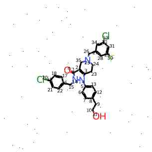 O=c1c2c(n(-c3ccc(CCO)cc3)n1Cc1ccc(Cl)cc1)CCN(Cc1cc(F)cc(Cl)c1)C2